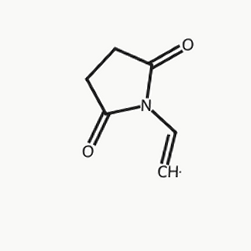 [CH]=CN1C(=O)CCC1=O